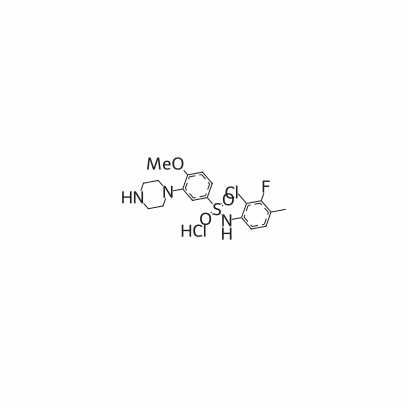 COc1ccc(S(=O)(=O)Nc2ccc(C)c(F)c2Cl)cc1N1CCNCC1.Cl